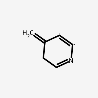 C=C1[C]=[C]N=CC1